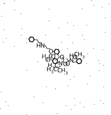 COc1ccccc1CNC(=O)C[C@H]1O[C@H](c2cccc(OCCCNCCCc3ccccc3)c2OC)c2cc(Cl)ccc2N(CC(C)(C)C)C1=O